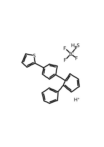 F[B-](F)(F)F.S.[H+].c1ccc(-c2ccccc2-c2ccc(-c3cccs3)cc2)cc1